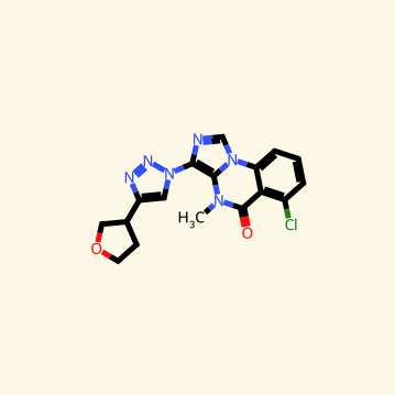 Cn1c(=O)c2c(Cl)cccc2n2cnc(-n3cc(C4CCOC4)nn3)c12